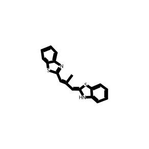 CC(/C=C1/Nc2ccccc2S1)=C\c1nc2ccccc2s1